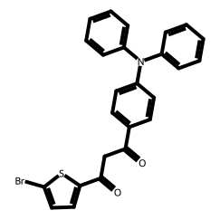 O=C(CC(=O)c1ccc(Br)s1)c1ccc(N(c2ccccc2)c2ccccc2)cc1